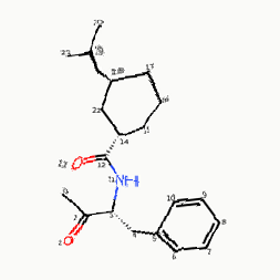 CC(=O)[C@@H](Cc1ccccc1)NC(=O)[C@H]1CCC[C@H](C(C)C)C1